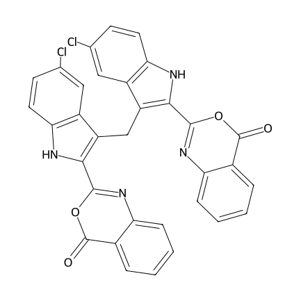 O=c1oc(-c2[nH]c3ccc(Cl)cc3c2Cc2c(-c3nc4ccccc4c(=O)o3)[nH]c3ccc(Cl)cc23)nc2ccccc12